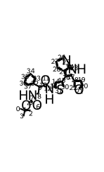 CC(C)(C)OC(=O)NCC(C(=O)Nc1cc(-c2c(-c3ccoc3)[nH]c3ncccc23)cs1)c1ccccc1